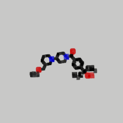 CC(C)(C)OCC1CCCN(C2CCN(C(=O)c3ccc(C(C)(C)O)cc3)CC2)C1